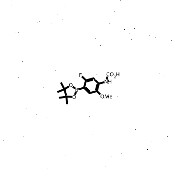 COc1cc(B2OC(C)(C)C(C)(C)O2)c(F)cc1NC(=O)O